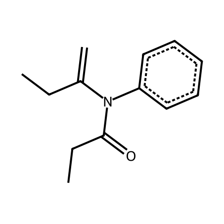 C=C(CC)N(C(=O)CC)c1ccccc1